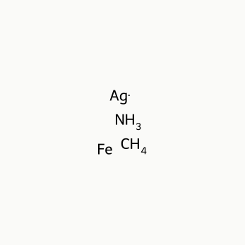 C.N.[Ag].[Fe]